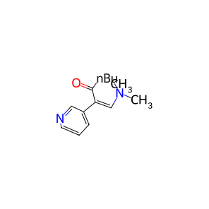 CCCCC(=O)C(=CN(C)C)c1cccnc1